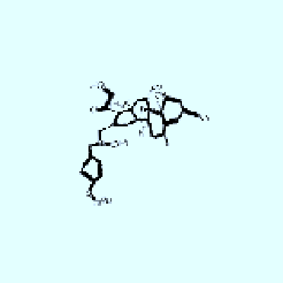 CCCCOc1ccc(CN(O)C[C@@H]2CC3[C@@H]4C[C@H](F)C5=CC(=O)C=C[C@]5(C)[C@@]4(F)[C@@H](O)C[C@]3(C)[C@H]2C(=O)CO)cc1